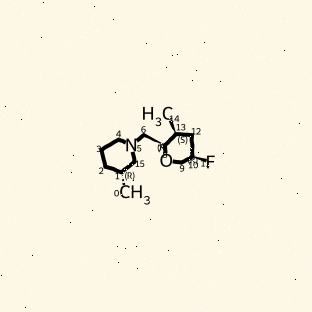 C[C@@H]1CCCN(C[C@@H]2OC[C@H](F)C[C@@H]2C)C1